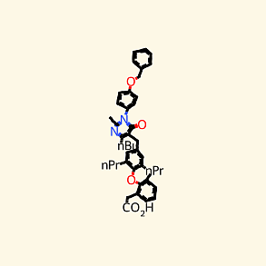 CCCCc1nc(C)n(-c2ccc(OCc3ccccc3)cc2)c(=O)c1Cc1cc(CCC)c(Oc2c(C)cccc2CC(=O)O)c(CCC)c1